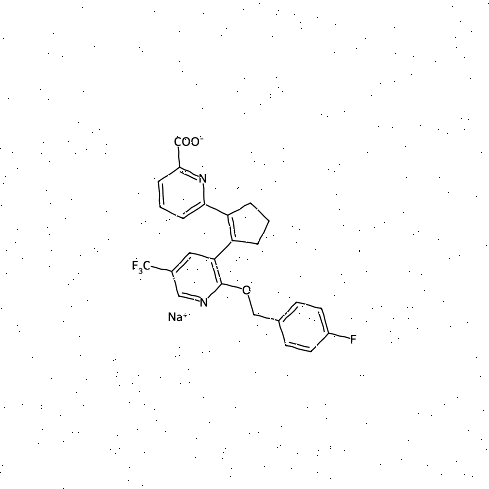 O=C([O-])c1cccc(C2=C(c3cc(C(F)(F)F)cnc3OCc3ccc(F)cc3)CCC2)n1.[Na+]